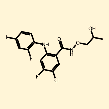 CC(O)CONC(=O)c1cc(Cl)c(F)cc1Nc1ccc(I)cc1F